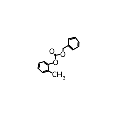 Cc1ccccc1OC(=O)OCc1ccccc1